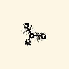 BC(B)(c1cccnc1)C(B)(B)c1cc(B2OC(C)(C)C(C)(C)O2)cc(C(B)(B)C(B)(B)c2cccnc2)c1